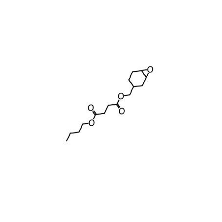 CCCCOC(=O)CCC(=O)OCC1CCC2OC2C1